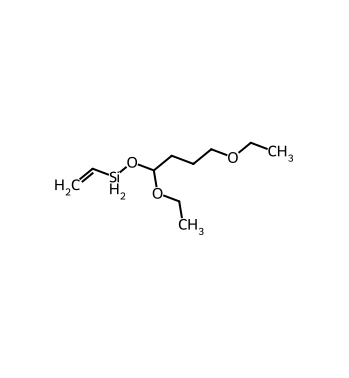 C=C[SiH2]OC(CCCOCC)OCC